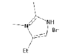 CCc1c[nH]c(C)[n+]1C.[Br-]